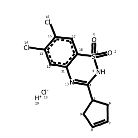 O=S1(=O)NC(C2CC=CC2)=Nc2cc(Cl)c(Cl)cc21.[Cl-].[H+]